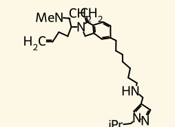 C=CCCC(C(=C)NC)N1Cc2cc(CCCCCCCNCc3cnn(CC(C)C)c3)ccc2C1=C